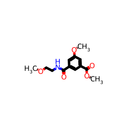 COCCNC(=O)c1cc(OC)cc(C(=O)OC)c1